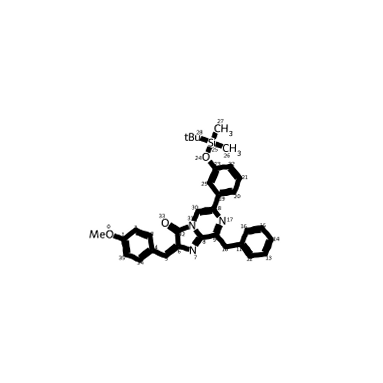 COc1ccc(C=C2N=C3C(Cc4ccccc4)=NC(c4cccc(O[Si](C)(C)C(C)(C)C)c4)=CN3C2=O)cc1